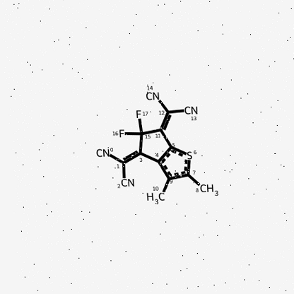 [C-]#[N+]/C(C#N)=C1/c2c(sc(C)c2C)/C(=C(\C#N)[N+]#[C-])C1(F)F